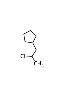 CC(Cl)CC1CCCC1